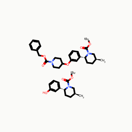 C[C@H]1CC[C@H](c2cccc(O)c2)N(C(=O)OC(C)(C)C)C1.C[C@H]1CC[C@H](c2cccc(OC3CCN(C(=O)OCc4ccccc4)CC3)c2)N(C(=O)OC(C)(C)C)C1